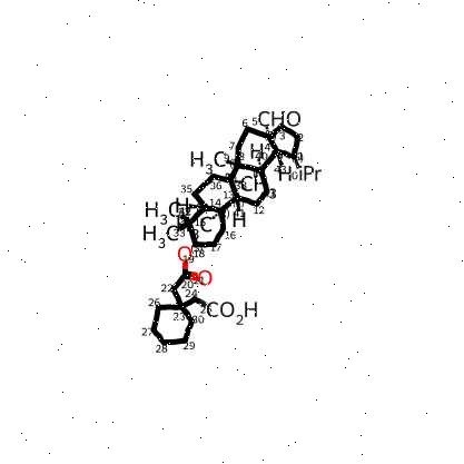 CC(C)[C@@H]1CC[C@]2(C=O)CC[C@]3(C)[C@H](CC[C@@H]4[C@@]5(C)CC[C@H](OC(=O)CC6(CC(=O)O)CCCCC6)C(C)(C)[C@@H]5CC[C@]43C)[C@@H]12